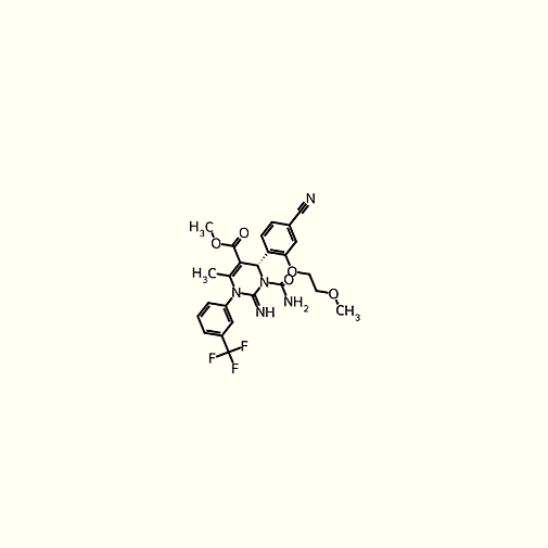 COCCOc1cc(C#N)ccc1[C@H]1C(C(=O)OC)=C(C)N(c2cccc(C(F)(F)F)c2)C(=N)N1C(N)=O